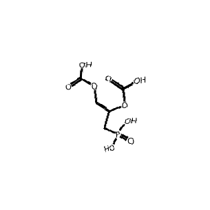 O=C(O)OCC(CP(=O)(O)O)OC(=O)O